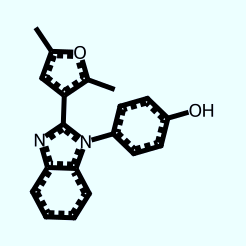 Cc1cc(-c2nc3ccccc3n2-c2ccc(O)cc2)c(C)o1